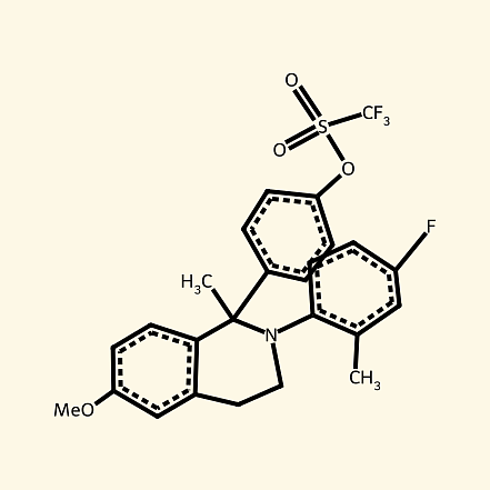 COc1ccc2c(c1)CCN(c1ccc(F)cc1C)C2(C)c1ccc(OS(=O)(=O)C(F)(F)F)cc1